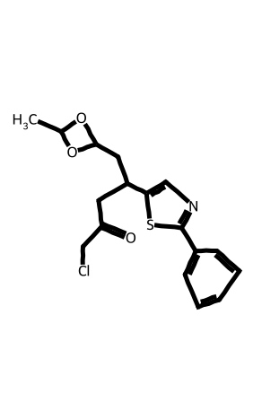 CC1OC(CC(CC(=O)CCl)c2cnc(-c3ccccc3)s2)O1